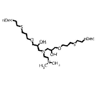 CCCCCCCCCCCCSCCCOCC(O)CN(CCN(C)C)CC(O)COCCCSCCCCCCCCCCCC